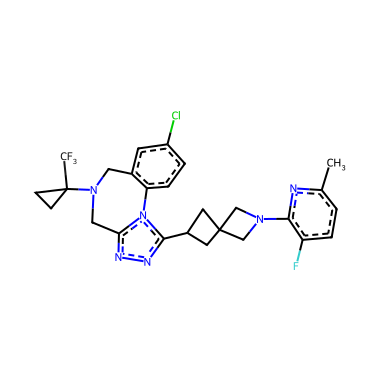 Cc1ccc(F)c(N2CC3(CC(c4nnc5n4-c4ccc(Cl)cc4CN(C4(C(F)(F)F)CC4)C5)C3)C2)n1